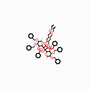 C=CCOCCCCCOC(O)[C@](O)([C@@H]1O[C@@H](C)[C@@H](OCc2ccccc2)[C@@H](OCc2ccccc2)[C@@H]1OCc1ccccc1)[C@](O)(C(O)OCCCCCOCC=C)[C@@H]1O[C@@H](C)[C@@H](OCc2ccccc2)[C@@H](OCc2ccccc2)[C@@H]1OCc1ccccc1